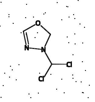 ClC(Cl)N1COC=N1